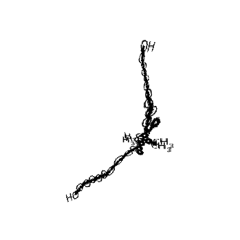 Cc1cc(N(CCOCCOCCOCCOCCOCCOCCOCCOCCOCCO)Cc2ccccc2)ccc1C(C)(c1ccc(N(C)C)cc1)c1ccc(N(CCOCCOCCOCCOCCOCCOCCOCCOCCOCCO)Cc2ccccc2)cc1C